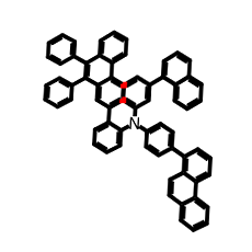 c1ccc(-c2c(-c3ccccc3)c3cc(-c4ccccc4N(c4ccc(-c5cccc6c5ccc5ccccc56)cc4)c4cccc(-c5cccc6ccccc56)c4)ccc3c3ccccc23)cc1